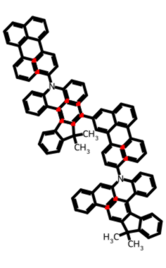 CC1(C)c2ccccc2-c2c(-c3ccccc3N(c3ccc(-c4cc(-c5cccc6c(N(c7ccc(-c8cccc9cccc(-c%10ccccc%10)c89)cc7)c7ccccc7-c7cccc8c7-c7ccccc7C8(C)C)cccc56)cc5cccc(-c6ccccc6)c45)cc3)c3ccc4ccccc4c3)cccc21